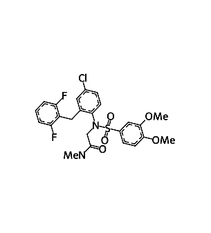 CNC(=O)CN(c1ccc(Cl)cc1Cc1c(F)cccc1F)S(=O)(=O)c1ccc(OC)c(OC)c1